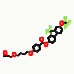 O=C(Oc1ccc2c(c1)C(F)(F)c1cc(OC(F)(F)F)ccc1-2)c1ccc(OCCCCOCC2CO2)cc1